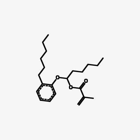 C=C(C)C(=O)OC(CCCCC)Oc1ccccc1CCCCCC